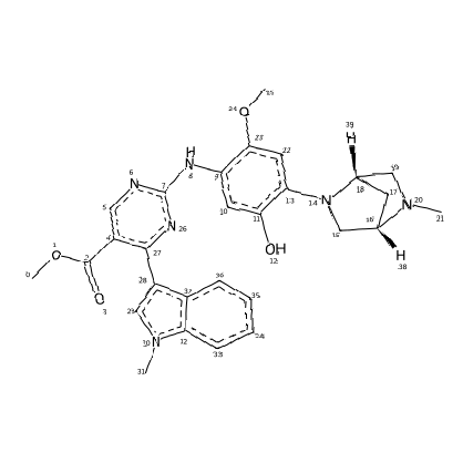 COC(=O)c1cnc(Nc2cc(O)c(N3C[C@@H]4C[C@H]3CN4C)cc2OC)nc1-c1cn(C)c2ccccc12